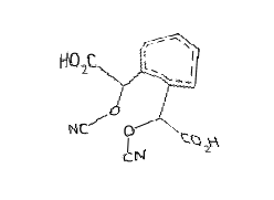 N#COC(C(=O)O)c1ccccc1C(OC#N)C(=O)O